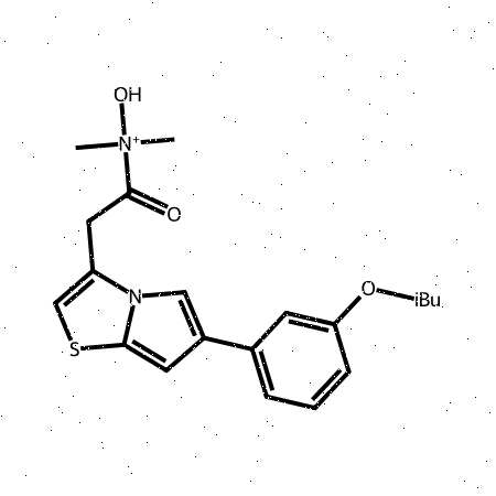 CCC(C)Oc1cccc(-c2cc3scc(CC(=O)[N+](C)(C)O)n3c2)c1